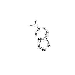 CC(C)c1cnc2cncn2c1